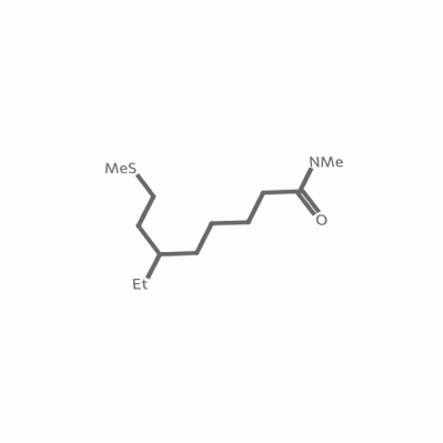 CCC(CCCCC(=O)NC)CCSC